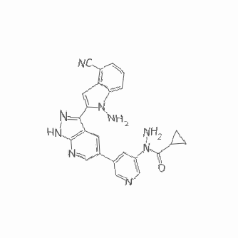 N#Cc1cccc2c1cc(-c1n[nH]c3ncc(-c4cncc(N(N)C(=O)C5CC5)c4)cc13)n2N